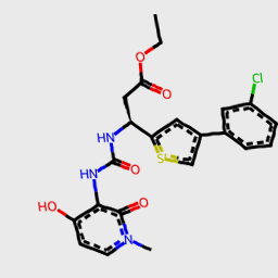 CCOC(=O)C[C@H](NC(=O)Nc1c(O)ccn(C)c1=O)c1cc(-c2cccc(Cl)c2)cs1